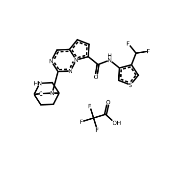 O=C(Nc1cscc1C(F)F)c1ccc2cnc(N3CC4CCC3CN4)nn12.O=C(O)C(F)(F)F